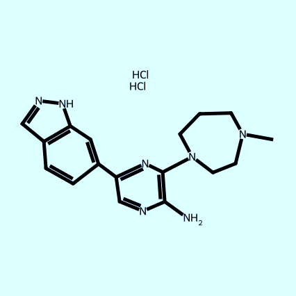 CN1CCCN(c2nc(-c3ccc4cn[nH]c4c3)cnc2N)CC1.Cl.Cl